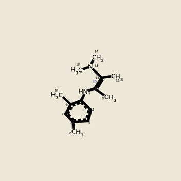 C/C(Nc1ccc(C)cc1C)=C(\C)N(C)C